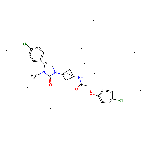 CN1C(=O)N(C23CC(NC(=O)COc4ccc(Cl)cc4)(C2)C3)C[C@H]1c1ccc(Cl)cc1